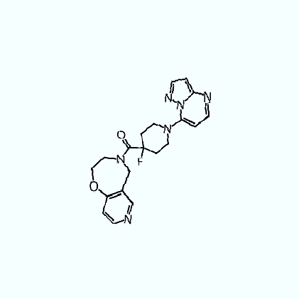 O=C(N1CCOc2ccncc2C1)C1(F)CCN(c2ccnc3ccnn23)CC1